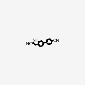 N#Cc1ccc(-c2ccc(CC(N)C#N)cc2)cc1